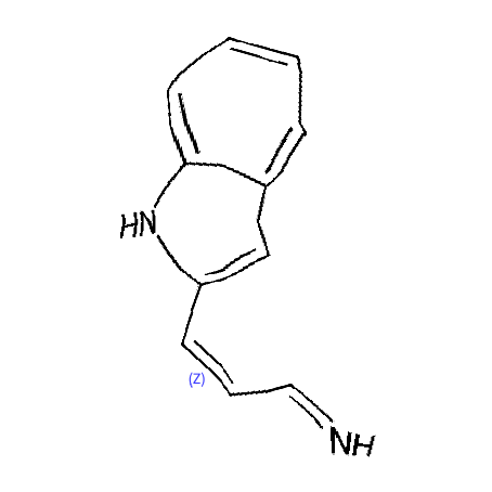 N=C/C=C\c1cc2ccccc2[nH]1